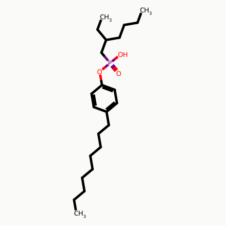 CCCCCCCCCc1ccc(OP(=O)(O)CC(CC)CCCC)cc1